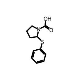 O=C(O)N1CCCC1Sc1ccccc1